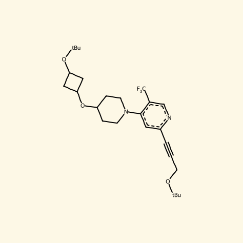 CC(C)(C)OCC#Cc1cc(N2CCC(OC3CC(OC(C)(C)C)C3)CC2)c(C(F)(F)F)cn1